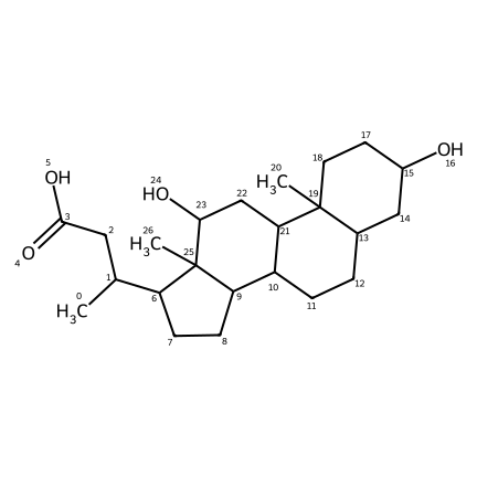 CC(CC(=O)O)C1CCC2C3CCC4CC(O)CCC4(C)C3CC(O)C12C